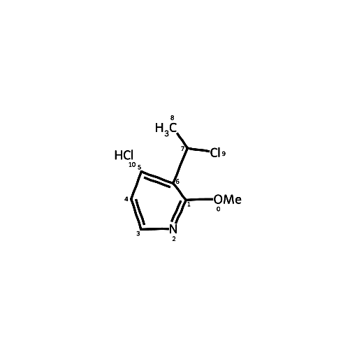 COc1ncccc1C(C)Cl.Cl